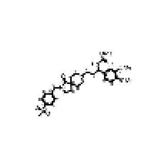 COC(=O)NC(CCN1CCC2(CC1)CCN(Cc1ccc(S(C)(=O)=O)cc1)C2=O)c1ccc(OC)c(OC)c1